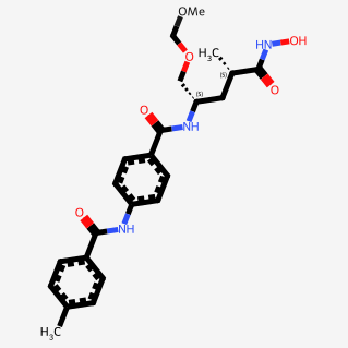 COCOC[C@H](C[C@H](C)C(=O)NO)NC(=O)c1ccc(NC(=O)c2ccc(C)cc2)cc1